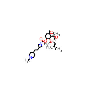 COC1C(OC(=O)N2CC(CCC3CCN(C)CC3)C2)CCC2(CO2)C1[C@@]1(C)O[C@@H]1CC=C(C)C